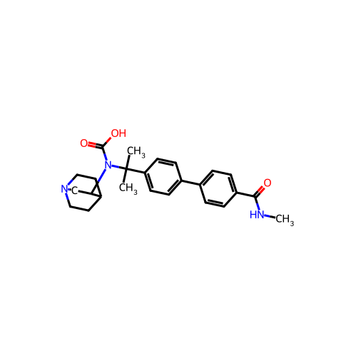 CNC(=O)c1ccc(-c2ccc(C(C)(C)N(C(=O)O)C3CN4CCC3CC4)cc2)cc1